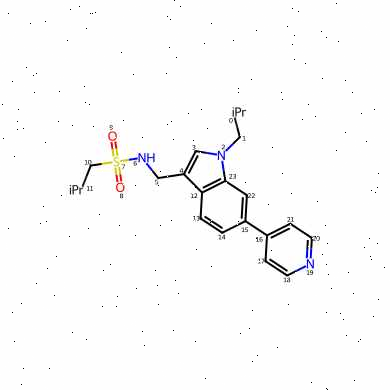 CC(C)Cn1cc(CNS(=O)(=O)CC(C)C)c2ccc(-c3ccncc3)cc21